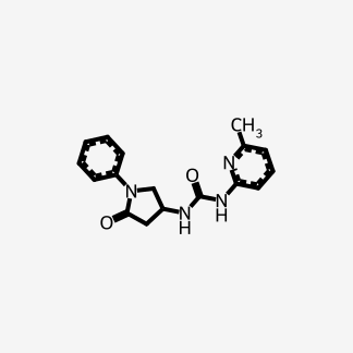 Cc1cccc(NC(=O)NC2CC(=O)N(c3ccccc3)C2)n1